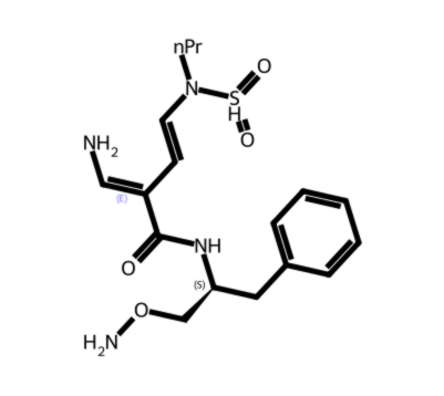 CCCN(C=C/C(=C\N)C(=O)N[C@H](CON)Cc1ccccc1)[SH](=O)=O